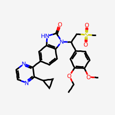 CCOc1cc(C(CS(C)(=O)=O)n2c(=O)[nH]c3cc(-c4nccnc4C4CC4)ccc32)ccc1OC